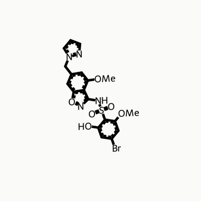 COc1cc(Br)cc(O)c1S(=O)(=O)Nc1noc2cc(Cn3cccn3)cc(OC)c12